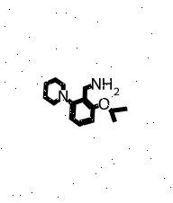 CC(C)Oc1cccc(N2CCCCC2)c1CN